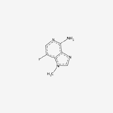 Cn1cnc2c(N)ncc(I)c21